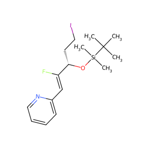 CC(C)(C)[Si](C)(C)O[C@@H](CCI)/C(F)=C/c1ccccn1